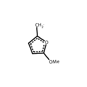 [CH2]c1ccc(OC)o1